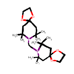 CC1(C)CC2(CC(C)(C)P1CP1C(C)(C)CC3(CC1(C)C)OCCO3)OCCO2